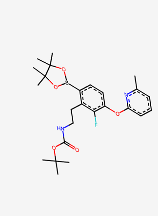 Cc1cccc(Oc2ccc(B3OC(C)(C)C(C)(C)O3)c(CCNC(=O)OC(C)(C)C)c2F)n1